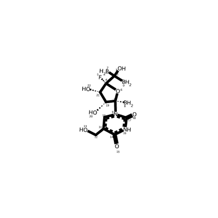 BC(B)(O)[C@@]1(F)O[C@@](B)(n2cc(CO)c(=O)[nH]c2=O)[C@H](O)[C@@H]1O